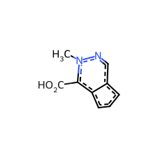 Cn1ncc2cccc-2c1C(=O)O